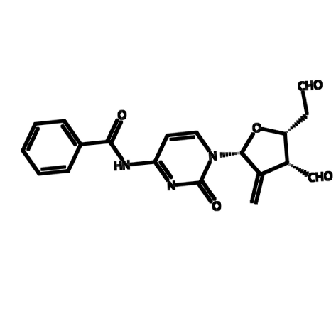 C=C1[C@@H](C=O)[C@@H](CC=O)O[C@H]1n1ccc(NC(=O)c2ccccc2)nc1=O